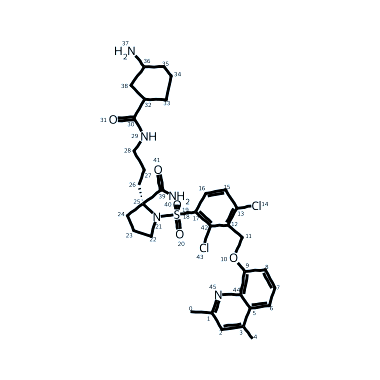 Cc1cc(C)c2cccc(OCc3c(Cl)ccc(S(=O)(=O)N4CCC[C@@]4(CCCNC(=O)C4CCCC(N)C4)C(N)=O)c3Cl)c2n1